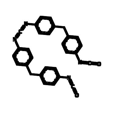 O=C=Nc1ccc(Cc2ccc(N=C=Nc3ccc(Cc4ccc(N=C=O)cc4)cc3)cc2)cc1